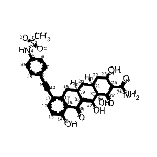 CS(=O)(=O)Nc1ccc(C#Cc2ccc(O)c3c2C[C@H]2C[C@H]4CC(O)C(C(N)=O)C(=O)[C@@]4(O)C(O)=C2C3=O)cc1